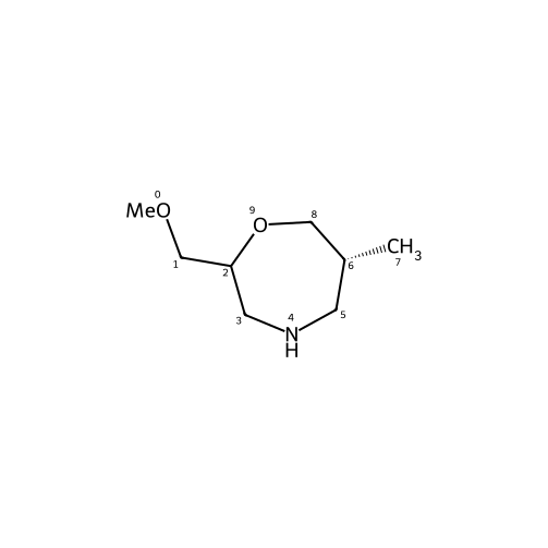 COCC1CNC[C@@H](C)CO1